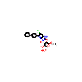 CO[C@H]1O[C@H](CO)[C@@H](O)[C@H](O)[C@H]1Oc1nc2nc(-c3ccc(-c4ccccc4)cc3)c(Cl)cc2[nH]1